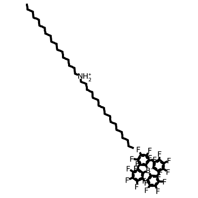 CCCCCCCCCCCCCCCCCC[NH2+]CCCCCCCCCCCCCCCCCC.Fc1c(F)c(F)c([B-](c2c(F)c(F)c(F)c(F)c2F)(c2c(F)c(F)c(F)c(F)c2F)c2c(F)c(F)c(F)c(F)c2F)c(F)c1F